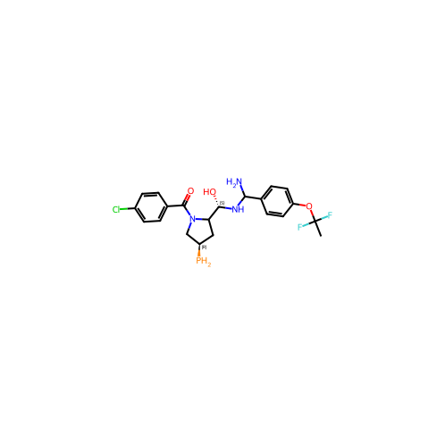 CC(F)(F)Oc1ccc(C(N)N[C@@H](O)C2C[C@@H](P)CN2C(=O)c2ccc(Cl)cc2)cc1